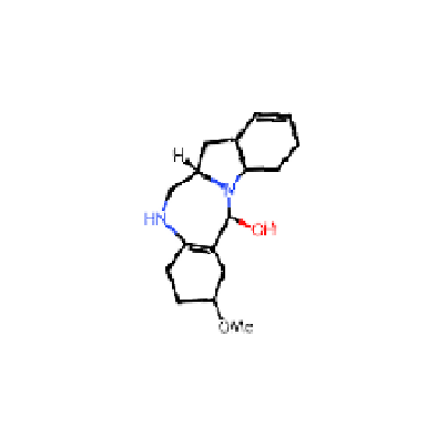 COC1CCC2=C(C1)C(O)N1C3CCC=CC3C[C@H]1CN2